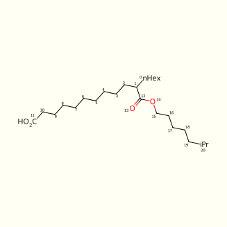 CCCCCCC(CCCCCCCCCC(=O)O)C(=O)OCCCCCC(C)C